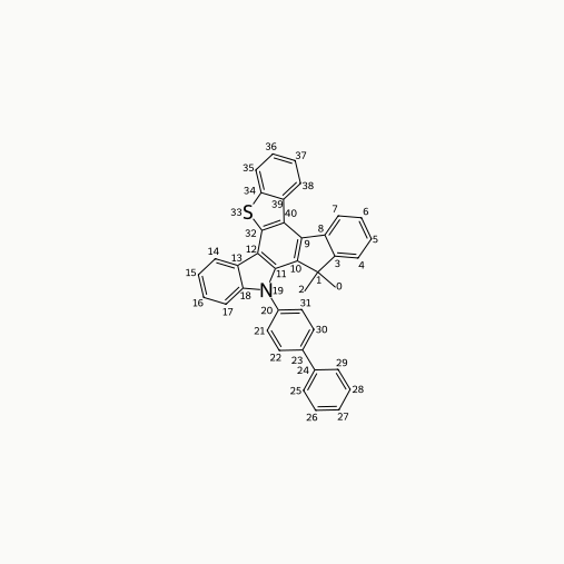 CC1(C)c2ccccc2-c2c1c1c(c3ccccc3n1-c1ccc(-c3ccccc3)cc1)c1sc3ccccc3c21